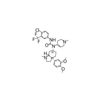 COc1ccc([C@@]23CC[C@@H](N(C(=O)Nc4ccc(Cl)c(C(F)(F)F)c4)C4=CCN(C)CC4)C[C@@H]2N(C)CC3)cc1OC